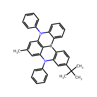 Cc1cc2c3c(c1)N(c1ccccc1)c1cc(C(C)(C)C)ccc1B3c1ccccc1N2c1ccccc1